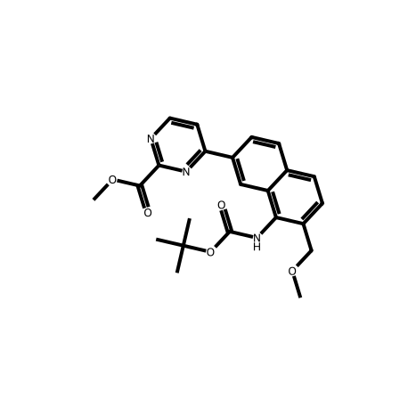 COCc1ccc2ccc(-c3ccnc(C(=O)OC)n3)cc2c1NC(=O)OC(C)(C)C